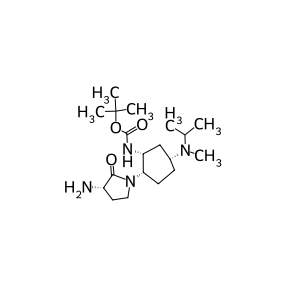 CC(C)N(C)[C@@H]1CC[C@H](N2CC[C@H](N)C2=O)[C@H](NC(=O)OC(C)(C)C)C1